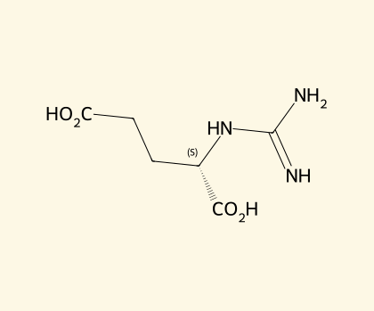 N=C(N)N[C@@H](CCC(=O)O)C(=O)O